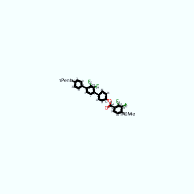 CCCCCc1ccc(-c2ccc(-c3ccc(OC(=O)c4ccc(OC)c(F)c4F)cc3)c(F)c2F)cc1